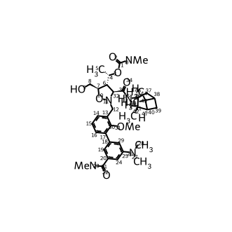 CNC(=O)O[C@@H](C)[C@H]1[C@H](CO)ON(Cc2cccc(-c3cc(C(=O)NC)cc(N(C)C)c3)c2OC)[C@@H]1C(=O)N[C@H]1CC2C[C@@H]([C@@H]1C)C2(C)C